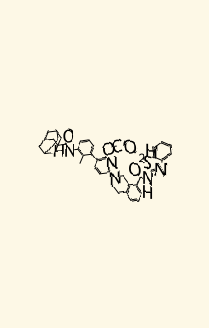 Cc1c(NC(=O)C23CC4CC(CC(C4)C2)C3)cccc1-c1ccc(N2CCc3cccc(C(=O)Nc4nc5ccccc5s4)c3C2)nc1OC(=O)O